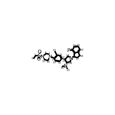 CCS(=O)(=O)N1CCN(c2ccc([C@H]3CN(C4CCc5cccc(F)c54)C[C@@H]3N(C)C)cc2C)CC1